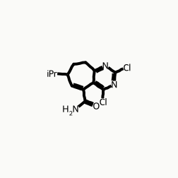 CC(C)C1C=C(C(N)=O)c2c(Cl)nc(Cl)nc2CC1